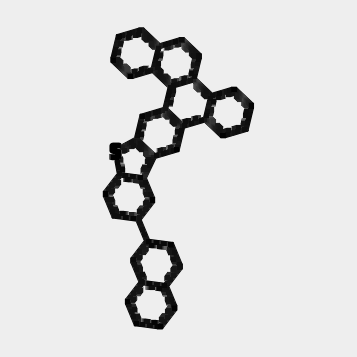 c1ccc2cc(-c3ccc4sc5cc6c(cc5c4c3)c3ccccc3c3ccc4ccccc4c36)ccc2c1